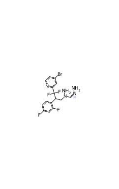 N/N=C\N(N)CC(c1ccc(F)cc1F)C(F)(F)c1cc(Br)ccn1